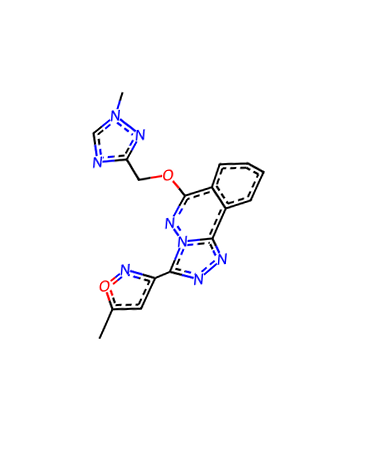 Cc1cc(-c2nnc3c4ccccc4c(OCc4ncn(C)n4)nn23)no1